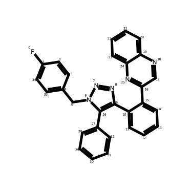 Fc1ccc(Cn2nnc(-c3ccccc3-c3cnc4ccccc4n3)c2-c2ccccc2)cc1